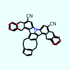 N#Cc1cc2c(c3c1C1c4ccccc4C3c3ccccc31)c1c3cc(c4c5c6c(c(C#N)cc5n2c14)C1c2ccccc2C6c2ccccc21)CCc1cccc(c1)CC3